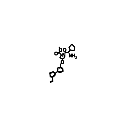 C=Cc1cccc(-c2cccc(CO[C@@H]3C[C@@H](C(=O)OC)N(C(=O)[C@@H](N)C4CCCCC4)C3)c2)c1